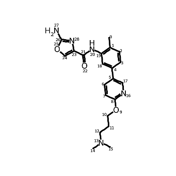 Cc1ccc(-c2ccc(OCCCN(C)C)nc2)cc1NC(=O)c1coc(N)n1